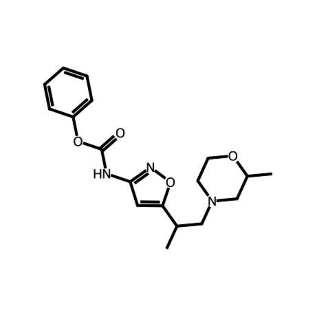 CC1CN(CC(C)c2cc(NC(=O)Oc3ccccc3)no2)CCO1